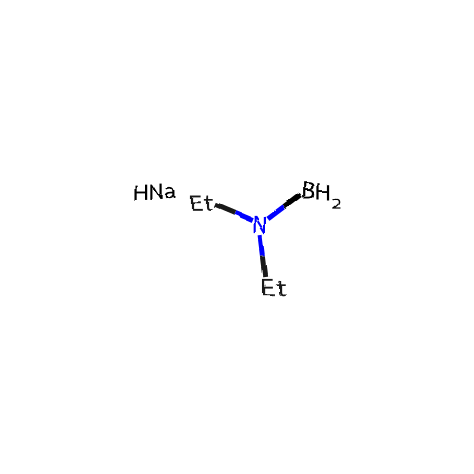 BN(CC)CC.[NaH]